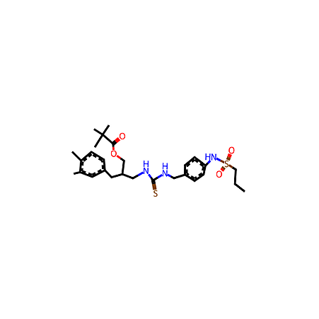 CCCS(=O)(=O)Nc1ccc(CNC(=S)NCC(COC(=O)C(C)(C)C)Cc2ccc(C)c(C)c2)cc1